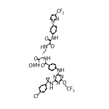 COC(=O)[C@H](CCNC(=O)C(=O)Nc1ccc(-n2ccc(C(F)(F)F)n2)cc1)NC(=O)c1ccc(Nc2nc(NC3(c4ccc(Cl)cc4)CC3)nc(OCC(F)(F)F)n2)cc1